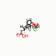 CCCC(=O)O.CCCO.CCO.Cc1ccccc1.ClCCl